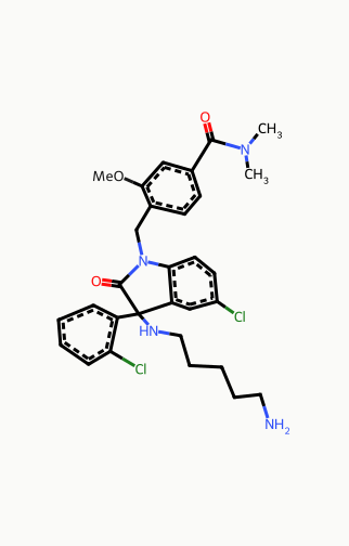 COc1cc(C(=O)N(C)C)ccc1CN1C(=O)C(NCCCCCN)(c2ccccc2Cl)c2cc(Cl)ccc21